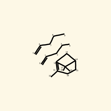 C=CCCC.C=CCCC.CC1=C2CC(CC1)C2(C)C